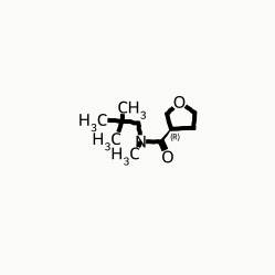 CN(CC(C)(C)C)C(=O)[C@@H]1CCOC1